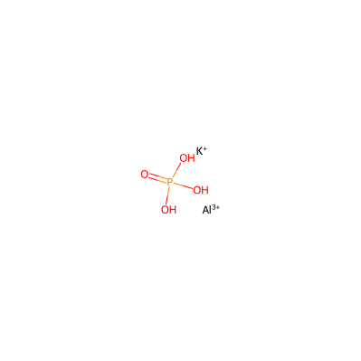 O=P(O)(O)O.[Al+3].[K+]